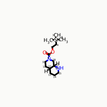 C[Si](C)(C)CCOC(=O)N1CC[C@H]2CCCN[C@H]2C1